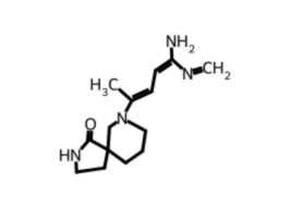 C=N/C(N)=C\C=C(/C)N1CCCC2(CCNC2=O)C1